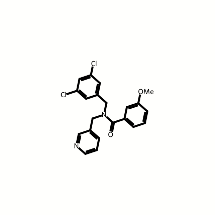 COc1cccc(C(=O)N(Cc2cccnc2)Cc2cc(Cl)cc(Cl)c2)c1